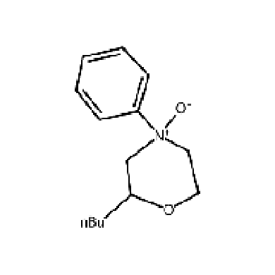 CCCCC1C[N+]([O-])(c2ccccc2)CCO1